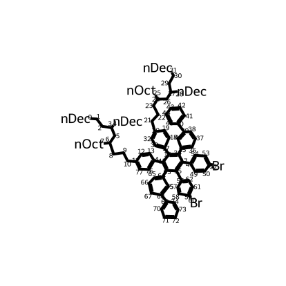 CCCCCCCCCCCCC(CCCCCCCCCC)CC(CCCCCCCC)CCCc1ccc(-c2c(-c3ccc(CCCC(CCCCCCCC)CC(CCCCCCCCCC)CCCCCCCCCCCC)cc3)c(-c3cccc(-c4ccccc4)c3)c(-c3ccc(Br)cc3)c(-c3ccc(Br)cc3)c2-c2cccc(-c3ccccc3)c2)cc1